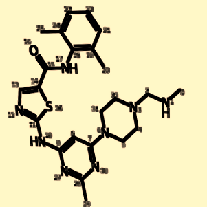 CNCN1CCN(c2cc(Nc3ncc(C(=O)Nc4c(C)cccc4C)s3)nc(C)n2)CC1